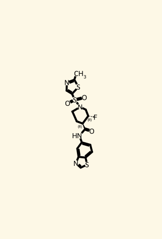 Cc1ncc(S(=O)(=O)N2CC[C@H](C(=O)Nc3ccc4scnc4c3)[C@@H](F)C2)s1